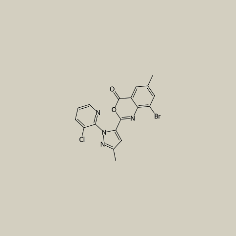 Cc1cc(Br)c2nc(-c3cc(C)nn3-c3ncccc3Cl)oc(=O)c2c1